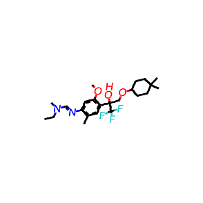 CCN(C)/C=N/c1cc(OC)c(C(O)(COC2CCC(C)(C)CC2)C(F)(F)F)cc1C